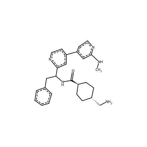 CNc1cc(-c2ccnc(C(Cc3ccccc3)NC(=O)[C@H]3CC[C@H](CN)CC3)c2)ccn1